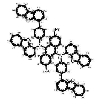 CC(C)c1ccc2c(N(c3ccc(-c4cccc5c4oc4ccccc45)cc3)c3cccc4c3oc3ccccc34)c3cc(C(C)C)ccc3c(N(c3ccc(-c4cccc5c4oc4ccccc45)cc3)c3cccc4c3oc3ccccc34)c2c1